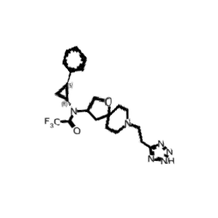 O=C(N(C1COC2(CCN(CCc3nn[nH]n3)CC2)C1)[C@@H]1C[C@H]1c1ccccc1)C(F)(F)F